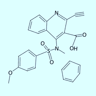 C#Cc1nc2ccccc2c(N(C)S(=O)(=O)c2ccc(OC)cc2)c1C(=O)O.c1ccccc1